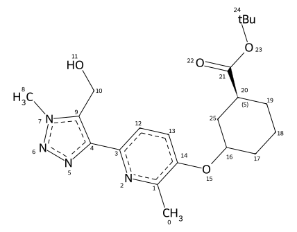 Cc1nc(-c2nnn(C)c2CO)ccc1OC1CCC[C@H](C(=O)OC(C)(C)C)C1